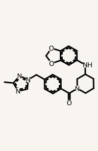 Cc1ncn(Cc2ccc(C(=O)N3CCCC(Nc4ccc5c(c4)OCO5)C3)cc2)n1